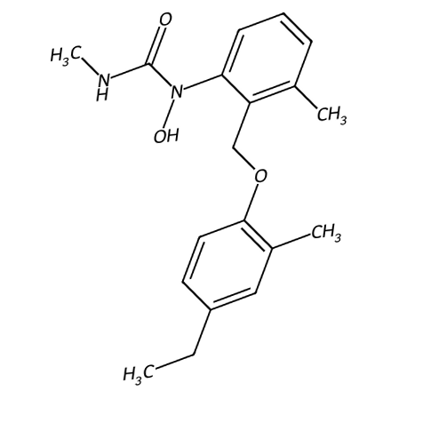 CCc1ccc(OCc2c(C)cccc2N(O)C(=O)NC)c(C)c1